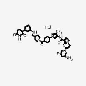 Cl.N[C@@H]1C[C@@H](F)CN(c2ccn3ncc(C(=O)Nc4cn(C5CCC(C(=O)N6CCC(CNc7cccc(C8CCC(=O)NC8=O)c7)CC6)CC5)nc4C(F)(F)F)c3n2)C1